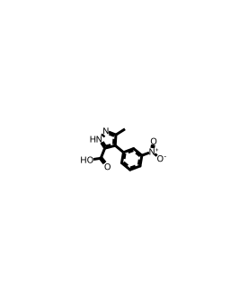 Cc1n[nH]c(C(=O)O)c1-c1cccc([N+](=O)[O-])c1